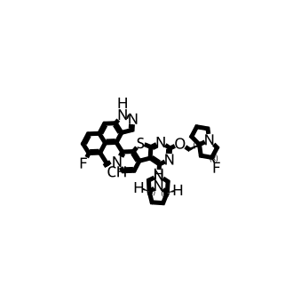 C#Cc1c(F)ccc2cc3[nH]ncc3c(-c3nccc4c3sc3nc(OC[C@@]56CCCN5C[C@H](F)C6)nc(N5C[C@H]6CC[C@@H](C5)N6)c34)c12